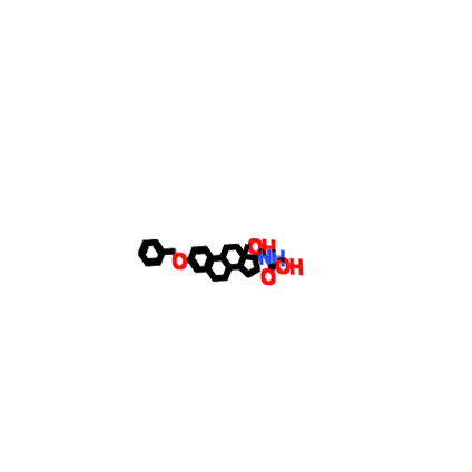 C[C@]12CCC3c4ccc(OCc5ccccc5)cc4CCC3C1CC[C@]2(O)NC(=O)O